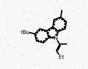 CC/C=C(\C)n1c2ccc(C)cc2c2cc(C(C)(C)C)ccc21